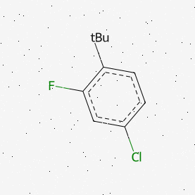 CC(C)(C)c1ccc(Cl)cc1F